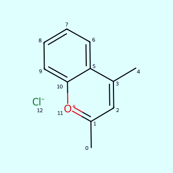 Cc1cc(C)c2ccccc2[o+]1.[Cl-]